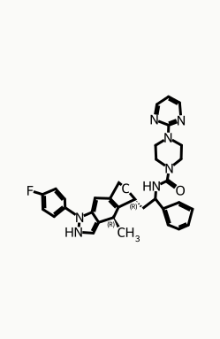 C[C@H]1C2=CNN(c3ccc(F)cc3)C2=CC2=C1[C@@H](CC(NC(=O)N1CCN(c3ncccn3)CC1)c1ccccc1)CC2